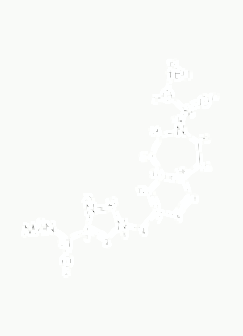 CNC(=O)c1cn(Cc2ccc3c(c2)CCN(C(=O)OC(C)(C)C)CC3)cn1